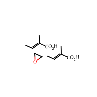 C1CO1.CC=C(C)C(=O)O.CC=C(C)C(=O)O